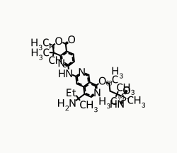 CCC(C)(N)c1cnc(O[C@H](C)CC(C)(C)[S@](C)(=N)=O)c2cnc(Nc3ccc4c(n3)C(C)(C)[C@@H](C)OC4=O)cc12